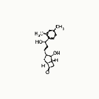 Cc1ccc(C(O)C=CC2C[C@@H]3C(=O)C[C@H]3C2O)c(C)c1